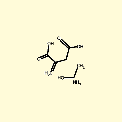 C=C(CC(=O)O)C(=O)O.CCO.N